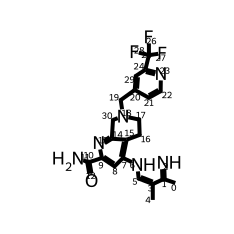 CC(=N)/C(C)=C\Nc1cc(C(N)=O)nc2c1CCN(Cc1ccnc(C(F)(F)F)c1)C2